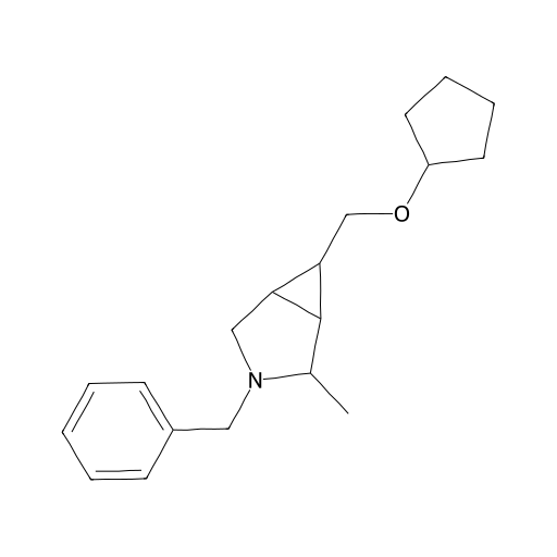 CC1C2C(COC3CCCC3)C2CN1Cc1ccccc1